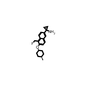 C[C@H]1CC[C@@H](Oc2ccc3cc(C4(N)CC4)ccc3c2CF)CC1